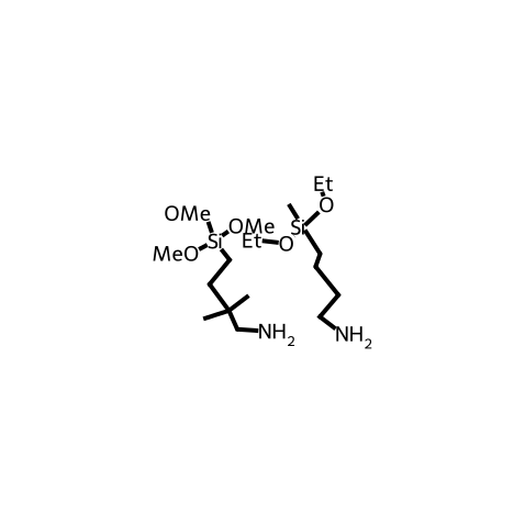 CCO[Si](C)(CCCCN)OCC.CO[Si](CCC(C)(C)CN)(OC)OC